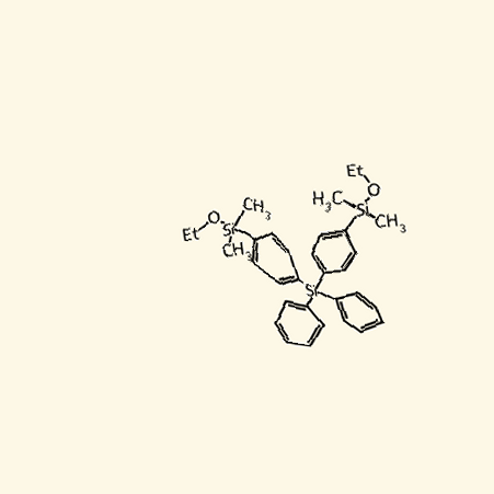 CCO[Si](C)(C)c1ccc([Si](c2ccccc2)(c2ccccc2)c2ccc([Si](C)(C)OCC)cc2)cc1